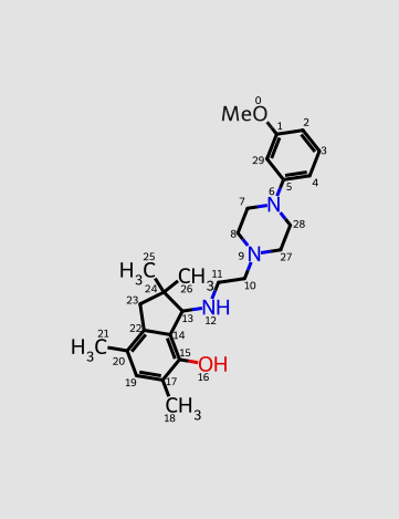 COc1cccc(N2CCN(CCNC3c4c(O)c(C)cc(C)c4CC3(C)C)CC2)c1